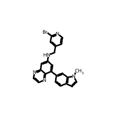 Cn1ccc2ccc(-c3cc(NCc4ccnc(Br)c4)cc4nccnc34)cc21